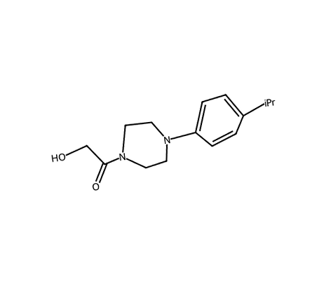 CC(C)c1ccc(N2CCN(C(=O)CO)CC2)cc1